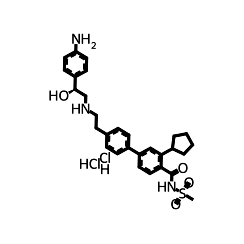 CS(=O)(=O)NC(=O)c1ccc(-c2ccc(CCNC[C@@H](O)c3ccc(N)cc3)cc2)cc1C1CCCC1.Cl.Cl